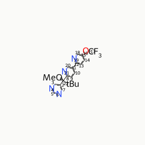 COC(c1cncnc1)(c1ccc(-c2ccc(OC(F)(F)F)cn2)cn1)C(C)(C)C